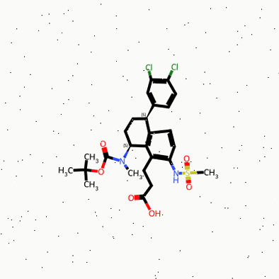 CN(C(=O)OC(C)(C)C)[C@H]1CC[C@@H](c2ccc(Cl)c(Cl)c2)c2ccc(NS(C)(=O)=O)c(CCC(=O)O)c21